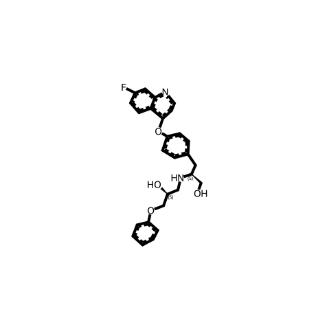 OC[C@H](Cc1ccc(Oc2ccnc3cc(F)ccc23)cc1)NC[C@H](O)COc1ccccc1